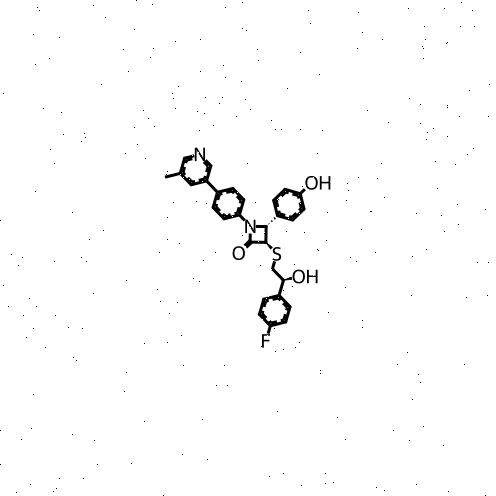 Cc1cncc(-c2ccc(N3C(=O)[C@H](SC[C@@H](O)c4ccc(F)cc4)[C@H]3c3ccc(O)cc3)cc2)c1